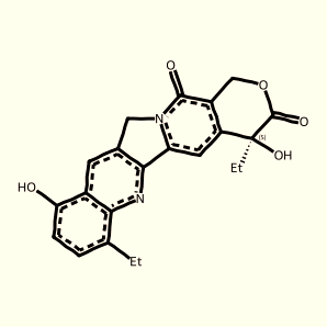 CCc1ccc(O)c2cc3c(nc12)-c1cc2c(c(=O)n1C3)COC(=O)[C@]2(O)CC